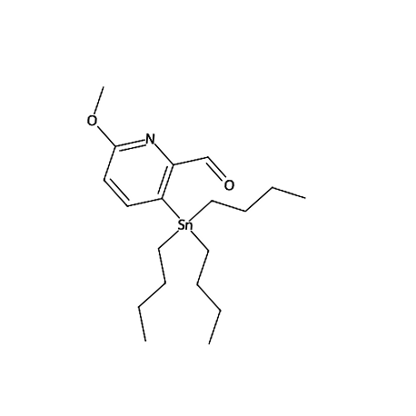 CCC[CH2][Sn]([CH2]CCC)([CH2]CCC)[c]1ccc(OC)nc1C=O